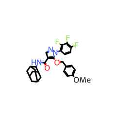 COc1ccc(COc2c(C(=O)NC3C4CC5CC(C4)CC3C5)cnn2-c2ccc(F)c(F)c2F)cc1